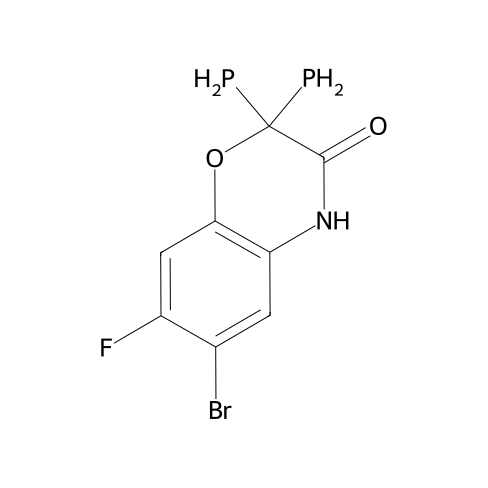 O=C1Nc2cc(Br)c(F)cc2OC1(P)P